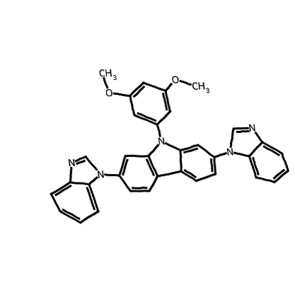 COc1cc(OC)cc(-n2c3cc(-n4cnc5ccccc54)ccc3c3ccc(-n4cnc5ccccc54)cc32)c1